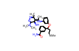 CNCCC(Oc1cccc(N/C(C)=C2\C(=N)C(N(C)C)=NN=C2C)c1)c1cccc(C(N)=O)c1